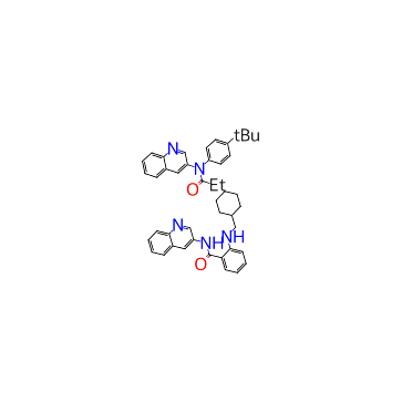 CCC(=O)N(c1ccc(C(C)(C)C)cc1)c1cnc2ccccc2c1.O=C(Nc1cnc2ccccc2c1)c1ccccc1NCC1CCCCC1